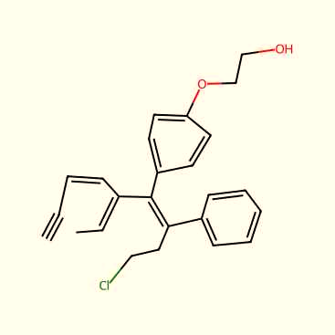 C#C\C=C/C(=C\C)C(=C(\CCCl)c1ccccc1)/c1ccc(OCCO)cc1